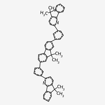 CC1(C)c2cc(-c3cccc(-c4ccc5c(n4)-c4ccccc4C5(C)C)c3)ccc2-c2ccc(-c3cccc(-c4ccc5c(n4)-c4ccccc4C5(C)C)c3)cc21